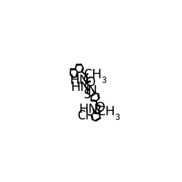 Cc1cccc(Cl)c1NC(=O)c1ccc2nc(NC(=O)NC(C)c3cccc4ccccc34)sc2c1